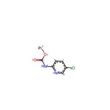 CC(C)OC(=O)Nc1ccc(Cl)cn1